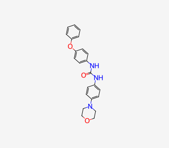 O=C(Nc1ccc(Oc2ccccc2)cc1)Nc1ccc(N2CCOCC2)cc1